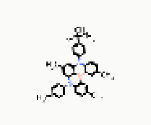 CC1=CC2B3c4cc(C)ccc4N(c4ccc(C)cc4)C4C=C(C)C=C(C34)N(c3ccc(C(C)(C)C)cc3)C2C=C1